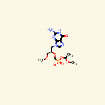 COC[C@@H](Cn1cnc2c(=O)[nH]c(N)nc21)OCP(=O)(O)OC(C)OC